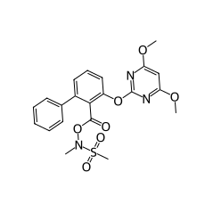 COc1cc(OC)nc(Oc2cccc(-c3ccccc3)c2C(=O)ON(C)S(C)(=O)=O)n1